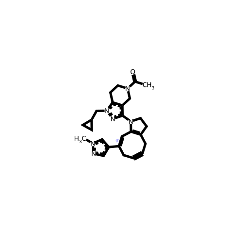 CC(=O)N1CCc2c(c(N3CCC4=C3/C=C(/c3cnn(C)c3)CC#CC4)nn2CC2CC2)C1